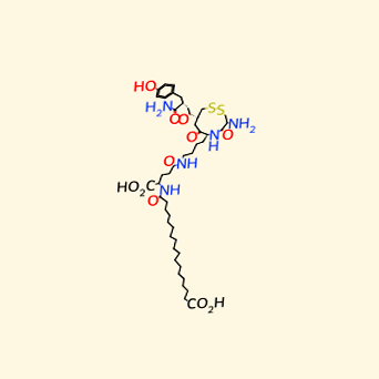 NC(=O)[C@@H](CC(=O)[C@@H]1CSSC[C@H](N)C(=O)N[C@@H](CCCCNC(=O)CCC(NC(=O)CCCCCCCCCCCCCCCCC(=O)O)C(=O)O)C(=O)C1)Cc1ccc(O)cc1